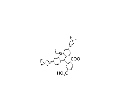 C=C[Si]1(C)C2=CC(=[N+]3CC(F)(F)C3)C=CC2=C(c2cc(C(=O)O)ccc2C(=O)[O-])c2ccc(N3CC(F)(F)C3)cc21